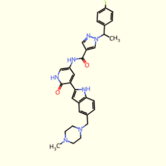 CC(c1ccc(F)cc1)n1cc(C(=O)Nc2c[nH]c(=O)c(-c3cc4cc(CN5CCN(C)CC5)ccc4[nH]3)c2)cn1